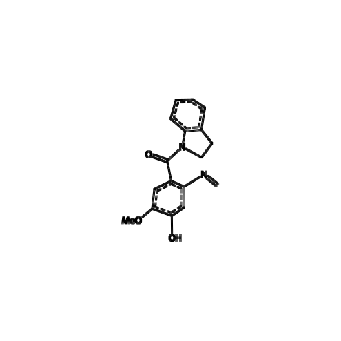 C=Nc1cc(O)c(OC)cc1C(=O)N1CCc2ccccc21